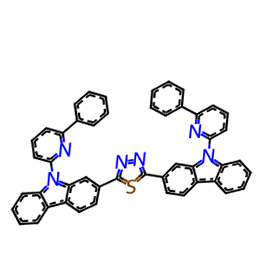 c1ccc(-c2cccc(-n3c4ccccc4c4ccc(-c5nnc(-c6ccc7c8ccccc8n(-c8cccc(-c9ccccc9)n8)c7c6)s5)cc43)n2)cc1